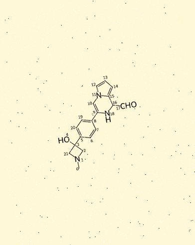 CN1CC(O)(c2ccc(C3=Cn4cccc4C(C=O)N3)cc2)C1